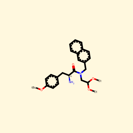 CCOC(CN(Cc1ccc2ccccc2c1)C(=O)[C@@H](N)Cc1ccc(OC(C)(C)C)cc1)OCC